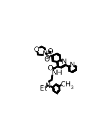 CCN(CCCNC(=O)c1cc(-c2ccccn2)nc2ccc(S(=O)(=O)N3CCOCC3)cc12)c1cccc(C)c1